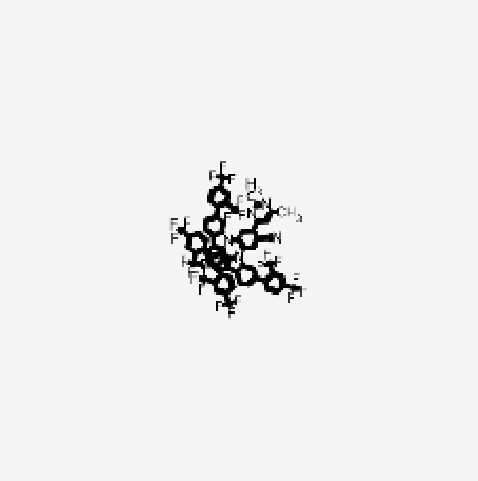 Cc1cc(-c2cc(-n3c4cc(-c5ccc(C(F)(F)F)cc5C(F)(F)F)ccc4c4ccc(-c5ccc(C(F)(F)F)cc5C(F)(F)F)cc43)c(-n3c4cc(-c5ccc(C(F)(F)F)cc5C(F)(F)F)ccc4c4ccc(-c5ccc(C(F)(F)F)cc5C(F)(F)F)cc43)cc2C#N)nc(C)n1